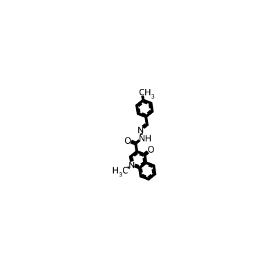 Cc1ccc(C=NNC(=O)c2cn(C)c3ccccc3c2=O)cc1